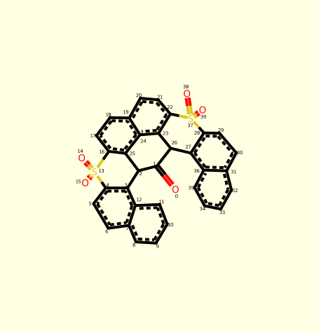 O=C1C2c3c(ccc4ccccc34)S(=O)(=O)c3ccc4ccc5c(c4c32)C1c1c(ccc2ccccc12)S5(=O)=O